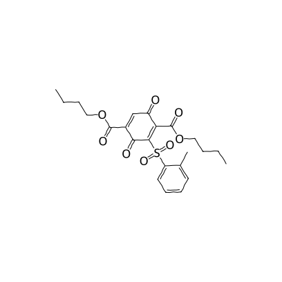 CCCCOC(=O)C1=CC(=O)C(C(=O)OCCCC)=C(S(=O)(=O)c2ccccc2C)C1=O